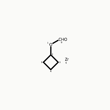 O=COC1CCC1.[Zr]